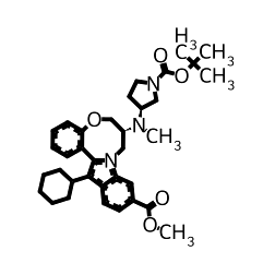 COC(=O)c1ccc2c(C3CCCCC3)c3n(c2c1)C[C@@H](N(C)[C@H]1CCN(C(=O)OC(C)(C)C)C1)COc1ccccc1-3